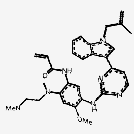 C=CC(=O)Nc1cc(Nc2nccc(-c3cn(CC(=C)C)c4ccccc34)n2)c(OC)cc1N(C)CCNC